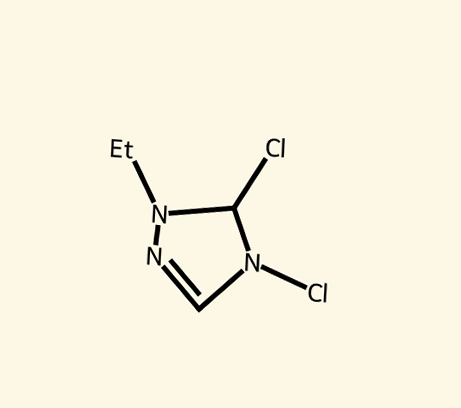 CCN1N=CN(Cl)C1Cl